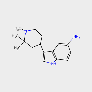 CN1CCC(c2c[nH]c3ccc(N)cc23)CC1(C)C